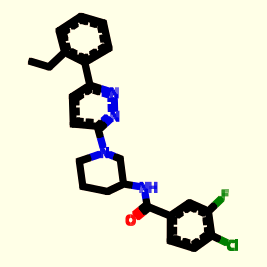 CCc1ccccc1-c1ccc(N2CCCC(NC(=O)c3ccc(Cl)c(F)c3)C2)nn1